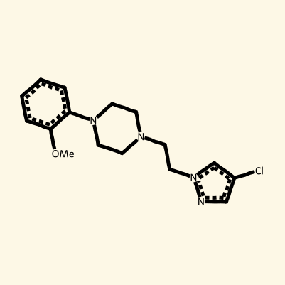 COc1ccccc1N1CCN(CCn2cc(Cl)cn2)CC1